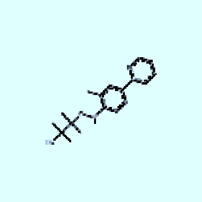 Cc1cc(-c2ccccn2)ccc1BOC(C)(C)C(C)(C)O